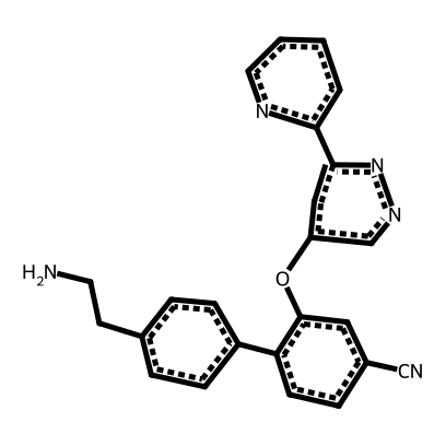 N#Cc1ccc(-c2ccc(CCN)cc2)c(Oc2cnnc(-c3ccccn3)c2)c1